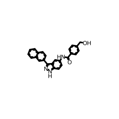 O=C(Nc1ccc2[nH]nc(-c3ccc4ccccc4c3)c2c1)c1ccc(CO)cc1